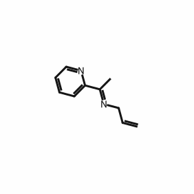 C=CC/N=C(\C)c1ccccn1